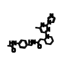 CC(=O)Nc1ccc(CNC(=O)CC2CCCCN2c2cc(C)nc(-n3ccnc3)n2)cc1